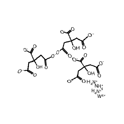 O=C([O-])CC(O)(CC(=O)[O-])C(=O)[O-].O=C([O-])CC(O)(CC(=O)[O-])C(=O)[O-].O=C([O-])CC(O)(CC(=O)[O-])C(=O)[O-].[NH4+].[NH4+].[NH4+].[W+6]